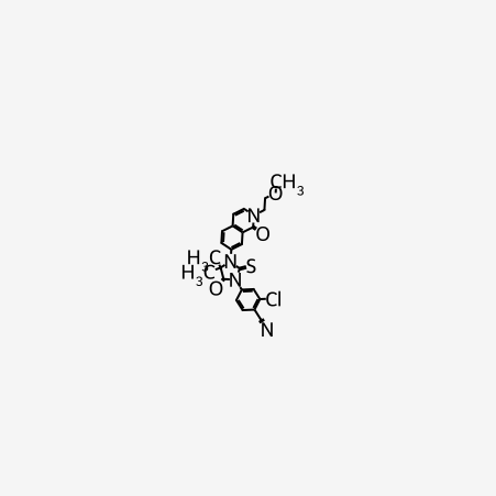 COCCn1ccc2ccc(N3C(=S)N(c4ccc(C#N)c(Cl)c4)C(=O)C3(C)C)cc2c1=O